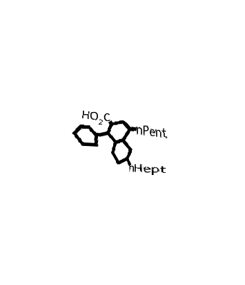 CCCCCCCC1CCC2C(C1)C(CCCCC)CC(C(=O)O)C2C1CCCCC1